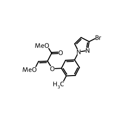 CO/C=C(\Oc1cc(-n2ccc(Br)n2)ccc1C)C(=O)OC